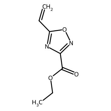 C=Cc1nc(C(=O)OCC)no1